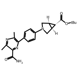 Cc1nc(C)c(-c2ccc(N3C[C@@H]4[C@H](C3)[C@H]4C(=O)OC(C)(C)C)cc2)nc1C(N)=O